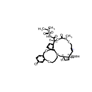 CO[C@H]1/C=C/CCN(C)C(=O)C[C@@](F)(C(=O)NS(=O)(=O)N(C)C)c2ccc3c(c2)N(CCCCc2cc(Cl)ccc2CO3)C[C@@H]2CC[C@H]21